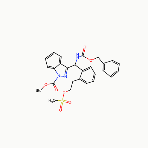 CC(C)(C)OC(=O)n1nc(C(NC(=O)OCc2ccccc2)c2ccccc2CCOS(C)(=O)=O)c2ccccc21